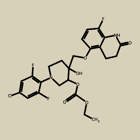 CCOC(=O)OC1CN(c2c(F)cc(Cl)cc2F)CCC1(O)COc1ccc(F)c2c1CCC(=O)N2